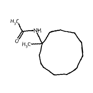 CC(=O)NC1(C)CCCCCCCCCC1